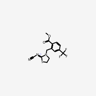 COC(=O)c1ccc(C(F)(F)F)cc1CN1CCS/C1=N\C#N